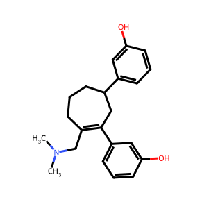 CN(C)CC1=C(c2cccc(O)c2)CC(c2cccc(O)c2)CCC1